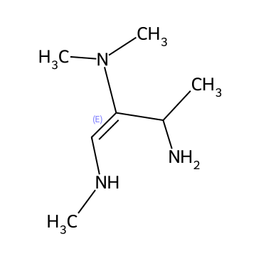 CN/C=C(\C(C)N)N(C)C